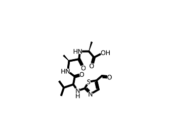 CC(C)C(Nc1ncc(C=O)s1)C(=O)N[C@@H](C)C(=O)N[C@@H](C)C(=O)O